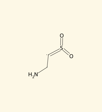 NC[C]=S(=O)=O